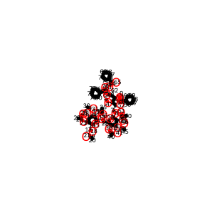 CO[C@@H]([C@H](OC)[C@@H](CO[C@@H]1O[C@H](CO[C@@H]2O[C@H](COC(C)=O)[C@@H](OC(C)=O)[C@H](OC(C)=O)[C@H]2OC(C)=O)[C@@H](OC(C)=O)[C@H](OC(C)=O)[C@H]1OC(C)=O)OC(=O)c1ccccc1)[C@@H](COC(=O)c1ccccc1)OC(=O)c1ccccc1